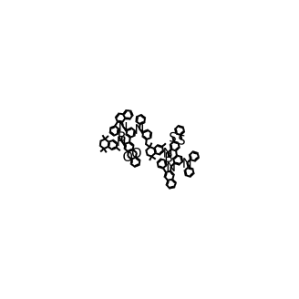 Cc1cc2c(cc1N1B3c4c(cc(N(c5ccccc5)c5ccccc5)cc4-n4c5cc6ccccc6cc5c5cccc3c54)-c3cc4c(cc31)Sc1ccccc1S4)C(C)(C)CCC2(C)Cc1cccc(N(c2ccccc2)c2cc3c4c(c2)-n2c5c(cccc5c5ccc6ccccc6c52)B4N(c2cc4c(cc2C)C(C)(C)CCC4(C)C)c2cc4c(cc2-3)Oc2ccccc2O4)c1